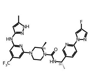 Cc1cc(Nc2cc(C(F)(F)F)cc(N3CCN(C(=O)N[C@@H](C)c4ccc(-n5cc(F)cn5)nc4)[C@H](C)C3)n2)n[nH]1